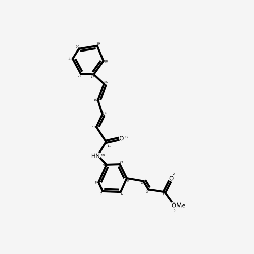 COC(=O)/C=C/c1cccc(NC(=O)/C=C/C=C/c2ccccc2)c1